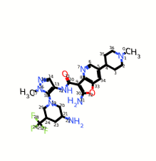 CN1CCC(c2cnc3c(C(=O)Nc4cnn(C)c4N4CC(N)CC(C(F)(F)F)C4)c(N)oc3c2)CC1